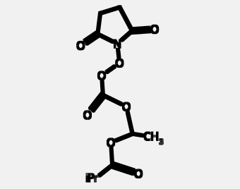 CC(OC(=O)OON1C(=O)CCC1=O)OC(=O)C(C)C